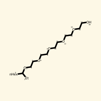 CCCCCCC(CC)OCCOCCOCCOCCOCCO